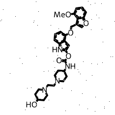 COc1cccc2occ(COc3cccc4[nH]c(OC(=O)NC5CCN(CCN6CCC(O)CC6)CC5)cc34)c12